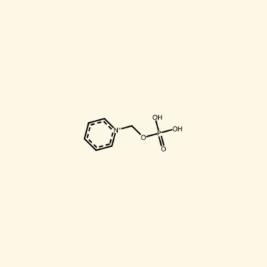 O=P(O)(O)OC[n+]1ccccc1